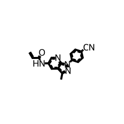 C=CC(=O)Nc1cnc2c(c1)c(C)nn2-c1ccc(C#N)cc1